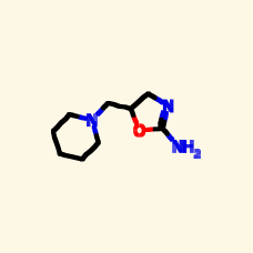 NC1=NCC(CN2CCCCC2)O1